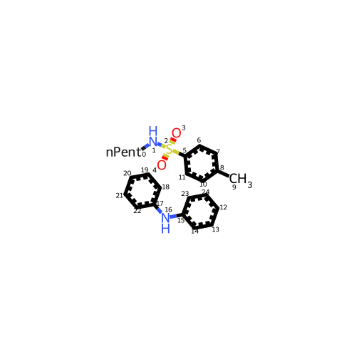 CCCCCNS(=O)(=O)c1ccc(C)cc1.c1ccc(Nc2ccccc2)cc1